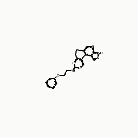 c1ccc(OCCNc2ncc3c(n2)CCc2cnc4[nH]ncc4c2-3)cc1